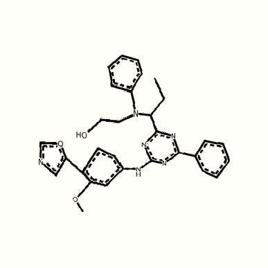 CCC(c1nc(Nc2ccc(-c3cnco3)c(OC)c2)nc(-c2ccccc2)n1)N(CCO)c1ccccc1